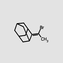 CC(Br)=C1C2CC3CC(C2)CC1C3